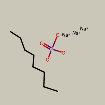 CCCCCCCC.O=P([O-])([O-])[O-].[Na+].[Na+].[Na+]